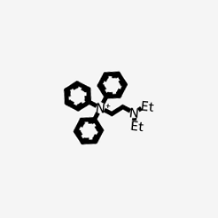 CCN(CC)CC[N+](c1ccccc1)(c1ccccc1)c1ccccc1